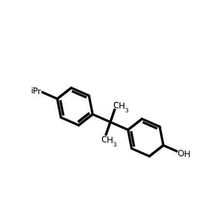 CC(C)c1ccc(C(C)(C)C2=CCC(O)C=C2)cc1